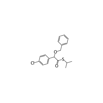 CC(C)SC(=O)C(OCc1ccccc1)c1ccc(Cl)cc1